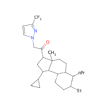 CCCC1C(CC)CCC2C1CCC1(C)C(C(=O)Cn3ccc(C(F)(F)F)n3)CC(C3CC3)C21